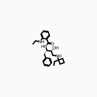 CCNc1ccccc1C(=O)N[C@@H](Cc1ccccc1)[C@H](O)CNC1(CC)CCC1